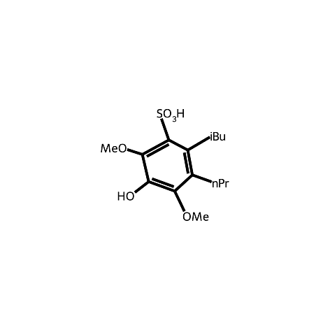 CCCc1c(OC)c(O)c(OC)c(S(=O)(=O)O)c1C(C)CC